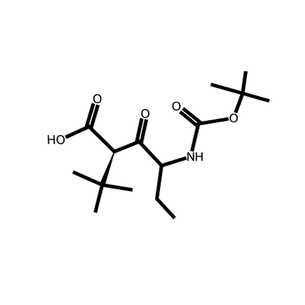 CCC(NC(=O)OC(C)(C)C)C(=O)[C@H](C(=O)O)C(C)(C)C